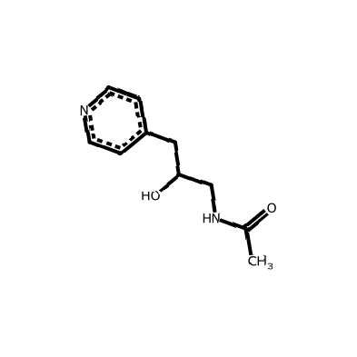 CC(=O)NCC(O)Cc1ccncc1